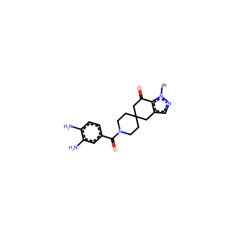 CC(C)n1ncc2c1C(=O)CC1(CCN(C(=O)c3ccc(N)c(N)c3)CC1)C2